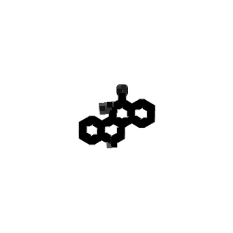 O=c1[nH]c2c3ccccc3ncc2c2ccccc12